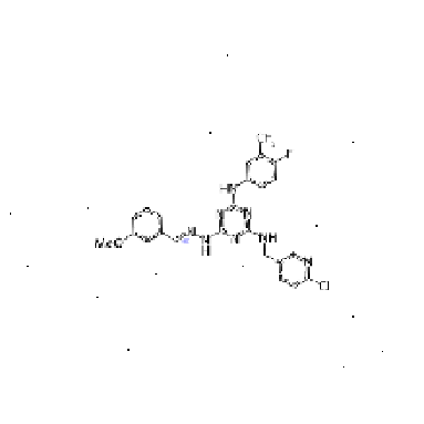 COc1cccc(/C=N/Nc2nc(NCc3ccc(Cl)nc3)nc(Nc3ccc(F)c(C(F)(F)F)c3)n2)c1